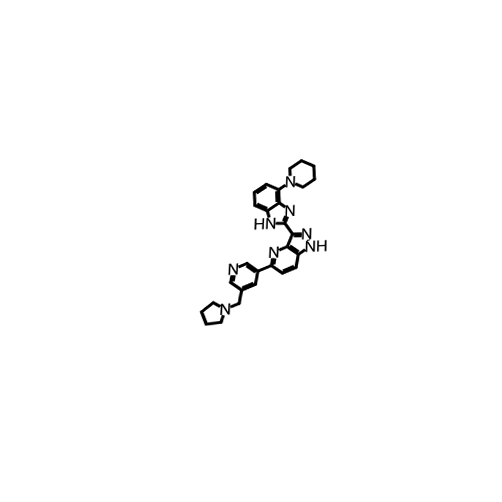 c1cc(N2CCCCC2)c2nc(-c3n[nH]c4ccc(-c5cncc(CN6CCCC6)c5)nc34)[nH]c2c1